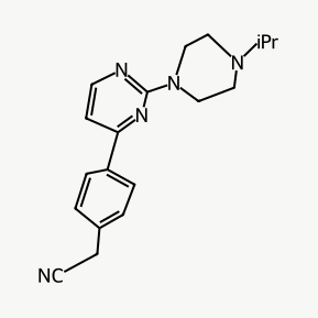 CC(C)N1CCN(c2nccc(-c3ccc(CC#N)cc3)n2)CC1